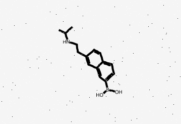 CC(C)NCCc1ccc2ccc(B(O)O)cc2c1